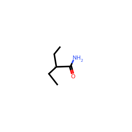 CC[C](CC)C(N)=O